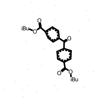 CCC(C)OC(=O)c1ccc(C(=O)c2ccc(C(=O)OC(C)CC)cc2)cc1